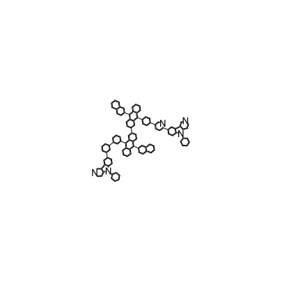 c1ccc(-n2c3ccncc3c3cc(-c4cccc(-c5cccc(-c6c7ccccc7c(-c7ccc8ccccc8c7)c7ccc(-c8ccc9c(-c%10ccc%11ccccc%11c%10)c%10ccccc%10c(-c%10ccc(-c%11ccc(-c%12ccc%13c(c%12)c%12cnccc%12n%13-c%12ccccc%12)nc%11)cc%10)c9c8)cc67)c5)c4)ccc32)cc1